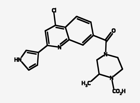 CC1CN(C(=O)c2ccc3c(Cl)cc(-c4cc[nH]c4)nc3c2)CCN1C(=O)O